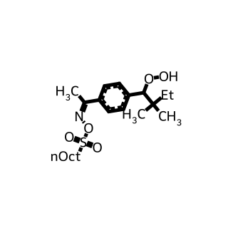 CCCCCCCCS(=O)(=O)O/N=C(/C)c1ccc(C(OO)C(C)(C)CC)cc1